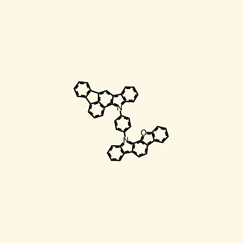 c1ccc2c(c1)-c1cccc3c1c-2cc1c2ccccc2n(-c2ccc(-n4c5ccccc5c5ccc6c7ccccc7oc6c54)cc2)c31